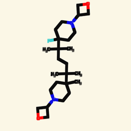 CC(C)(CCC(C)(C)C1(F)CCN(C2COC2)CC1)C1(C)CCN(C2COC2)CC1